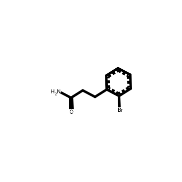 NC(=O)CCc1ccccc1Br